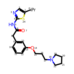 CC(C)c1cnc(NC(=O)Cc2cccc(OCCCN3CCCC3)c2)s1